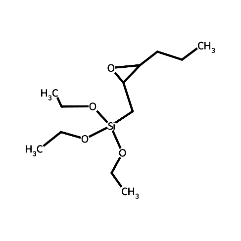 CCCC1OC1C[Si](OCC)(OCC)OCC